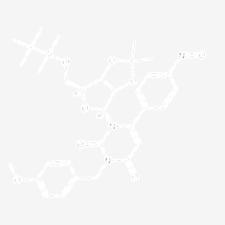 COc1ccc(Cn2c(=O)cc(-c3ccc(N=O)cc3)n([C@@H]3O[C@H](CO[Si](C)(C)C(C)(C)C)C4OC(C)(C)OC43)c2=O)cc1